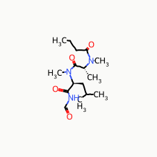 CCCC(=O)N(C)[C@H](C)C(=O)N(C)[C@@H](CC(C)C)C(=O)NC=O